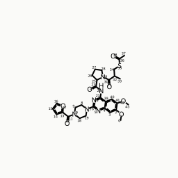 COc1cc2nc(N3CCN(C(=O)c4ccco4)CC3)nc(NC(=O)C3CCCN3C(=O)C(C)CSC(C)=O)c2cc1OC